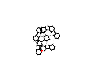 N#Cc1c(-n2c3ccccc3c3ccccc32)c(-c2ccc3sc4ccccc4c3c2)c(-n2c3ccccc3c3ccccc32)c(C#N)c1-n1c2ccccc2c2ccc3sc4ccccc4c3c21